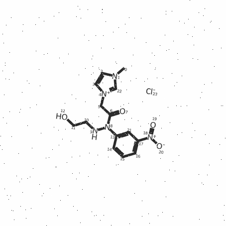 Cn1cc[n+](CC(=O)N(NCCO)c2cccc([N+](=O)[O-])c2)c1.[Cl-]